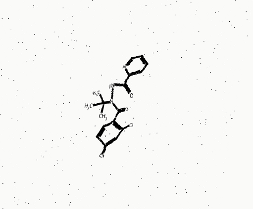 CC(C)(C)N(NC(=O)c1ccccn1)C(=O)c1ccc(Cl)cc1Cl